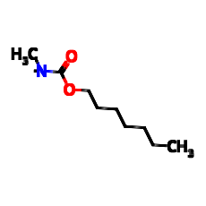 CCCCCCCOC(=O)[N]C